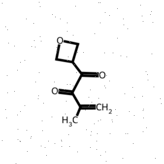 C=C(C)C(=O)C(=O)C1COC1